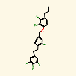 CCCc1ccc(OCc2ccc(CCc3cc(F)c(F)c(F)c3)c(F)c2)c(F)c1F